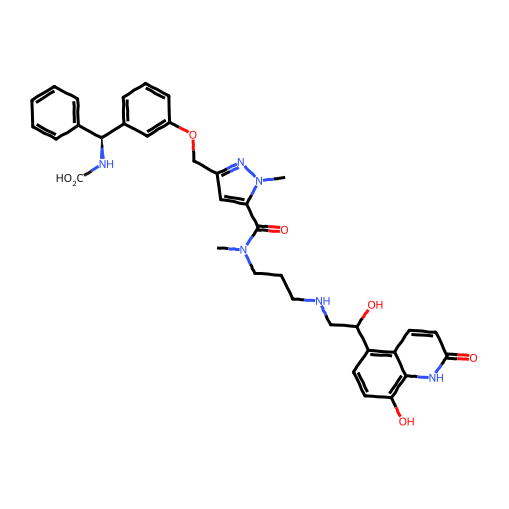 CN(CCCNCC(O)c1ccc(O)c2[nH]c(=O)ccc12)C(=O)c1cc(COc2cccc([C@@H](NC(=O)O)c3ccccc3)c2)nn1C